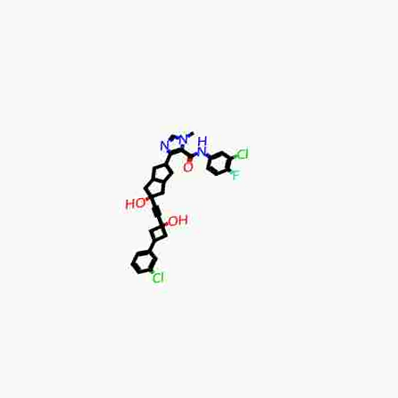 Cn1cnc(C2CC3CC(O)(C#CC4(O)CC(c5cccc(Cl)c5)C4)CC3C2)c1C(=O)Nc1ccc(F)c(Cl)c1